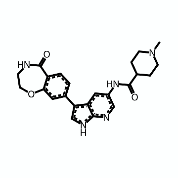 CN1CCC(C(=O)Nc2cnc3[nH]cc(-c4ccc5c(c4)OCCNC5=O)c3c2)CC1